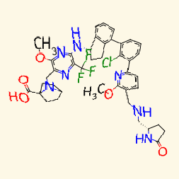 COc1nc(-c2cccc(-c3cccc4c3CC[C@@H]4Nc3nc(OC)c(CN4C5CCC4(C(=O)O)CC5)nc3C(F)(F)F)c2Cl)ccc1CNC[C@@H]1CCC(=O)N1